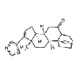 C[C@]12CCCCC1C(=O)C[C@@H]1[C@@H]2CC[C@]2(C)C(n3ccnc3)=CC[C@@H]12